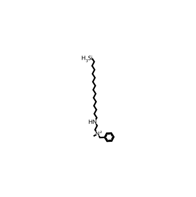 C[N+](C)(CCNCCCCCCCCCCCCCCC[SiH3])Cc1ccccc1